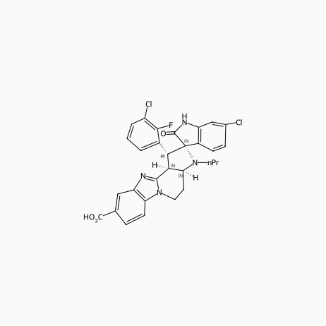 CCCN1[C@H]2CCn3c(nc4cc(C(=O)O)ccc43)[C@H]2[C@H](c2cccc(Cl)c2F)[C@]12C(=O)Nc1cc(Cl)ccc12